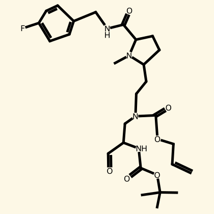 C=CCOC(=O)N(CCC1CCC(C(=O)NCc2ccc(F)cc2)N1C)CC(C=O)NC(=O)OC(C)(C)C